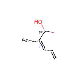 C=C/C=C(/C(C)=O)[C@H](O)I